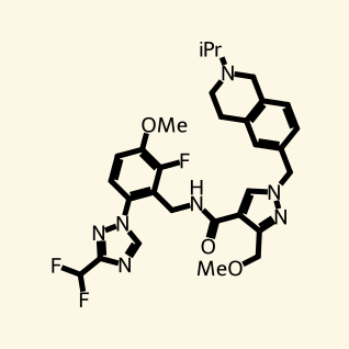 COCc1nn(Cc2ccc3c(c2)CCN(C(C)C)C3)cc1C(=O)NCc1c(-n2cnc(C(F)F)n2)ccc(OC)c1F